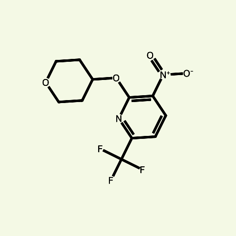 O=[N+]([O-])c1ccc(C(F)(F)F)nc1OC1CCOCC1